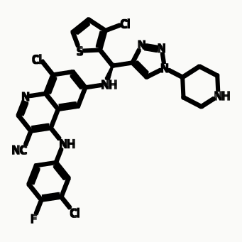 N#Cc1cnc2c(Cl)cc(N[C@H](c3cn(C4CCNCC4)nn3)c3sccc3Cl)cc2c1Nc1ccc(F)c(Cl)c1